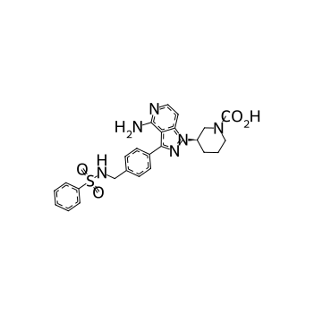 Nc1nccc2c1c(-c1ccc(CNS(=O)(=O)c3ccccc3)cc1)nn2[C@@H]1CCCN(C(=O)O)C1